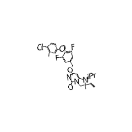 C=CC1(C)Cn2c(cc(OCc3cc(F)c(Oc4ccc(Cl)c(C)c4)c(F)c3)nc2=O)N1C(C)C